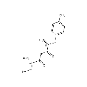 CC(C)C[C@H](N)C(=O)OC(=O)[C@@H](N)Cc1ccc(N)cc1